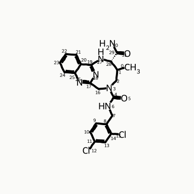 CC1CN(C(=O)NCc2ccc(Cl)cc2Cl)Cc2nc(c3ccccc3n2)N[C@@H]1C(N)=O